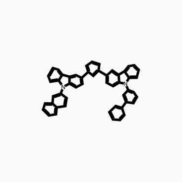 c1ccc(-c2cccc(-n3c4ccccc4c4cc(-c5cccc(-c6ccc7c(c6)c6ccccc6n7-c6ccc7ccccc7c6)c5)ccc43)c2)cc1